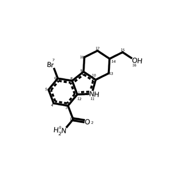 NC(=O)c1ccc(Br)c2c3c([nH]c12)CC(CO)CC3